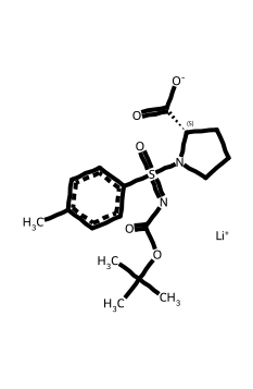 Cc1ccc(S(=O)(=NC(=O)OC(C)(C)C)N2CCC[C@H]2C(=O)[O-])cc1.[Li+]